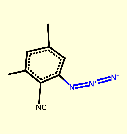 [C-]#[N+]c1c(C)cc(C)cc1N=[N+]=[N-]